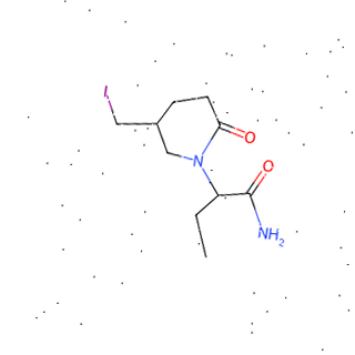 CCC(C(N)=O)N1CC(CI)CCC1=O